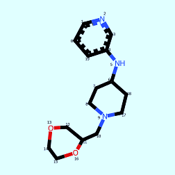 c1cncc(NC2CCN(CC3COCCO3)CC2)c1